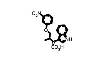 CC(COc1cccc([N+](=O)[O-])c1)N(C(=O)O)c1c[nH]c2ccccc12